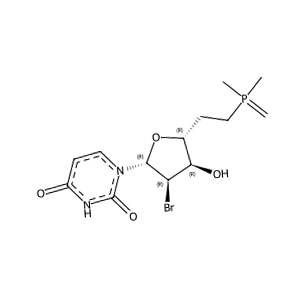 C=P(C)(C)CC[C@H]1O[C@@H](n2ccc(=O)[nH]c2=O)[C@H](Br)[C@@H]1O